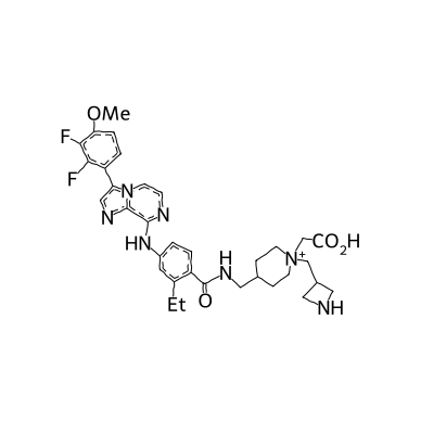 CCc1cc(Nc2nccn3c(-c4ccc(OC)c(F)c4F)cnc23)ccc1C(=O)NCC1CC[N+](CC(=O)O)(CC2CNC2)CC1